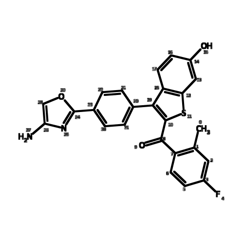 Cc1cc(F)ccc1C(=O)c1sc2cc(O)ccc2c1-c1ccc(-c2nc(N)co2)cc1